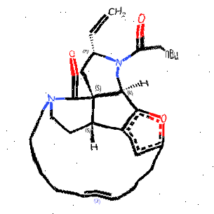 C=C[C@H]1C[C@@]23C(=O)N4CCCC/C=C\CCc5cc(c(o5)[C@@H]2N1C(=O)CCCC)[C@@H]3CC4